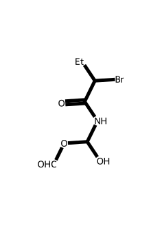 CCC(Br)C(=O)NC(O)OC=O